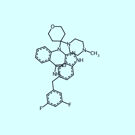 CN1CCN(C2(N(c3ccccc3C(N)=O)c3n[nH]c4ccc(Cc5cc(F)cc(F)c5)cc34)CCOCC2)CC1